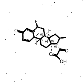 CC1C[C@H]2[C@@H]3CC(F)C4=CC(=O)C=C[C@]4(C)[C@H]3CC[C@]2(C)[C@H]1C(=O)C(=O)O